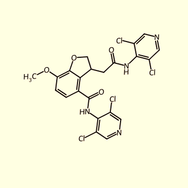 COc1ccc(C(=O)Nc2c(Cl)cncc2Cl)c2c1OCC2CC(=O)Nc1c(Cl)cncc1Cl